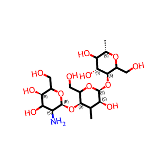 CC1[C@@H](O[C@@H]2OC(CO)[C@H](O)C(O)[C@@H]2N)C(CO)O[C@@H](O[C@@H]2C(CO)O[C@@H](C)C(O)[C@H]2O)[C@H]1O